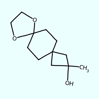 CC1(O)CC2(CCC3(CC2)OCCO3)C1